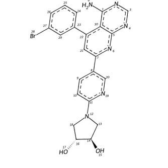 Nc1ncnc2nc(-c3ccc(N4C[C@@H](O)[C@H](O)C4)nc3)cc(-c3cccc(Br)c3)c12